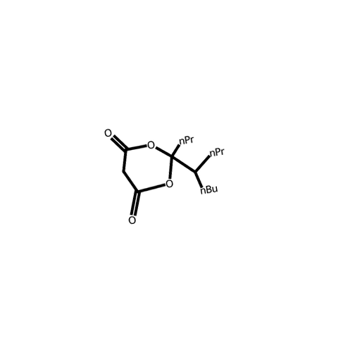 CCCCC(CCC)C1(CCC)OC(=O)CC(=O)O1